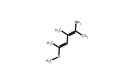 CO/C(C)=C/C(C)=C(\C)N